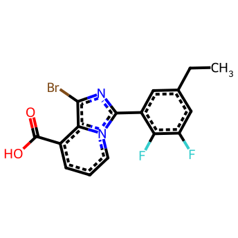 CCc1cc(F)c(F)c(-c2nc(Br)c3c(C(=O)O)cccn23)c1